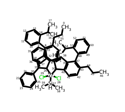 CCCc1ccc2c(c1-c1ccccc1C(C)C)C=C(c1ccccc1)[CH]2[Zr]([Cl])([Cl])([CH]1C(c2ccccc2)=Cc2c1ccc(CCC)c2-c1ccccc1C(C)C)[SiH](C)C